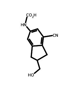 N#Cc1cc(NC(=O)O)cc2c1CC(CO)C2